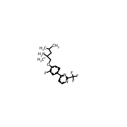 CC(C)C[C@](C)(N)COc1ccc(-c2ccnc(C(F)(F)F)n2)cc1F